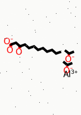 CC(C)[O-].CC(C)[O-].CCCCCCCCCC(=O)CC(=O)[O-].[Al+3]